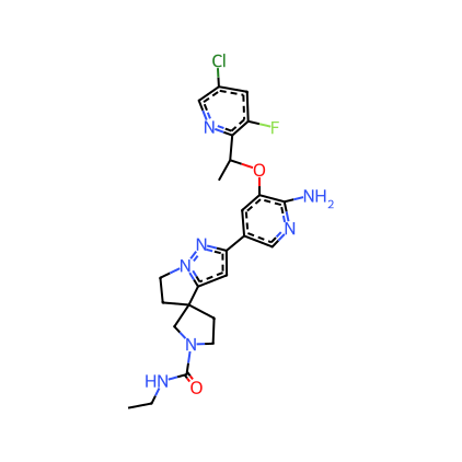 CCNC(=O)N1CCC2(CCn3nc(-c4cnc(N)c(OC(C)c5ncc(Cl)cc5F)c4)cc32)C1